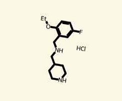 CCOc1ccc(F)cc1CNCC1CCNCC1.Cl